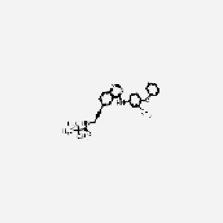 Cc1cc(Nc2ncnc3ccc(C#CCNC(=O)C(C)(C)C)cc23)ccc1Oc1ccccc1